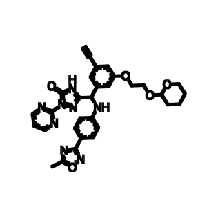 C#Cc1cc(OCCOC2CCCCO2)cc(C(Nc2ccc(-c3noc(C)n3)cc2)c2nn(-c3ncccn3)c(=O)[nH]2)c1